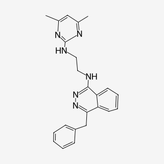 Cc1cc(C)nc(NCCNc2nnc(Cc3ccccc3)c3ccccc23)n1